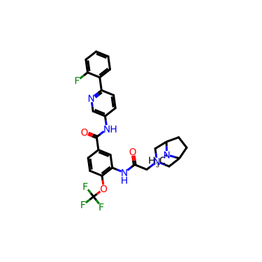 CN1C2CCC1CN(CC(=O)Nc1cc(C(=O)Nc3ccc(-c4ccccc4F)nc3)ccc1OC(F)(F)F)C2